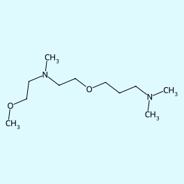 COCCN(C)CCOCCCN(C)C